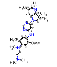 COc1cc(N(C)CCN(C)C)c(C)cc1Nc1cc(N2CC(C)(C)c3nc(C)c(C)cc32)ncn1